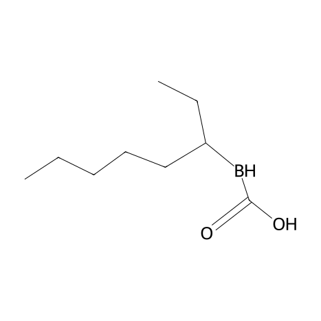 CCCCCC(BC(=O)O)CC